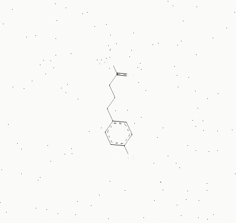 COC(=O)CCCc1ccc(C(F)(F)F)cc1